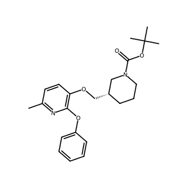 Cc1ccc(OC[C@H]2CCCN(C(=O)OC(C)(C)C)C2)c(Oc2ccccc2)n1